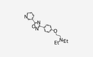 CCN(CC)CCOc1ccc(-c2noc(-c3cccnc3)n2)cc1